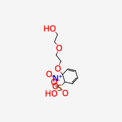 O=[N+]([O-])C1(OCCOCCO)C=CC=CC1S(=O)(=O)O